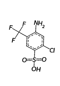 Nc1cc(Cl)c(S(=O)(=O)O)cc1C(F)(F)F